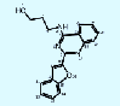 OCCCNc1nc(-c2cc3ccccc3o2)nc2ccccc12